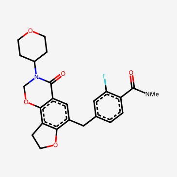 CNC(=O)c1ccc(Cc2cc3c(c4c2OCC4)OCN(C2CCOCC2)C3=O)cc1F